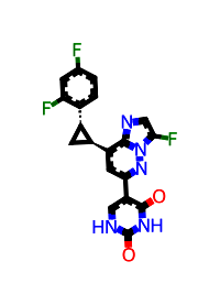 O=c1[nH]cc(-c2cc([C@H]3C[C@@H]3c3ccc(F)cc3F)c3ncc(F)n3n2)c(=O)[nH]1